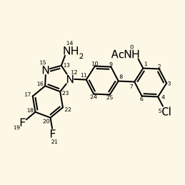 CC(=O)Nc1ccc(Cl)cc1-c1ccc(-n2c(N)nc3cc(F)c(F)cc32)cc1